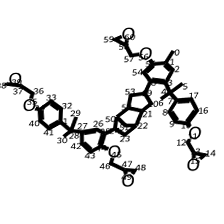 Cc1cc(C(C)(C)c2ccc(OCC3CO3)cc2)c(C2CC3C4CC(c5cc(C(C)(C)c6ccc(OCC7CO7)cc6)ccc5OCC5CO5)C(C4)C3C2)cc1OCC1CO1